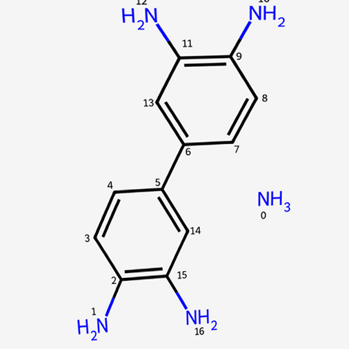 N.Nc1ccc(-c2ccc(N)c(N)c2)cc1N